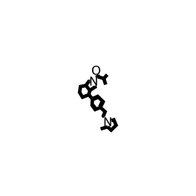 CC(C)C(=O)N1CC2CCCC(c3ccc(CCN4CCCC4C)cc3)C2C1